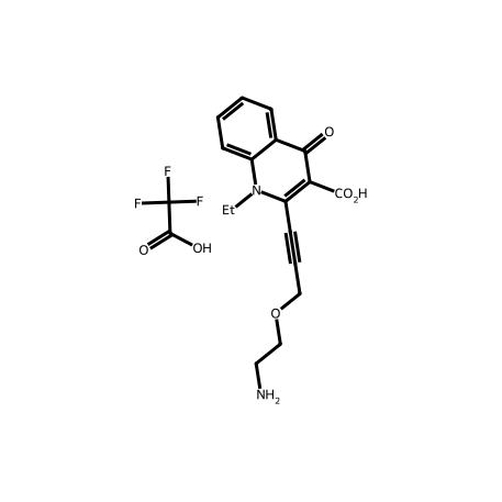 CCn1c(C#CCOCCN)c(C(=O)O)c(=O)c2ccccc21.O=C(O)C(F)(F)F